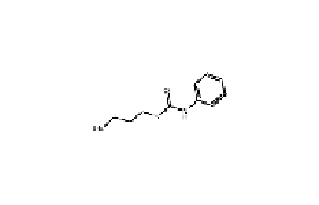 CC(C)(C)CCCNC(=O)Nc1ccccc1